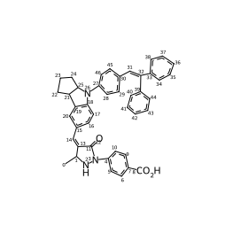 CC1NN(c2ccc(C(=O)O)cc2)C(=O)/C1=C\c1ccc2c(c1)C1CCCC1N2c1ccc(C=C(c2ccccc2)c2ccccc2)cc1